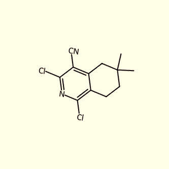 CC1(C)CCc2c(Cl)nc(Cl)c(C#N)c2C1